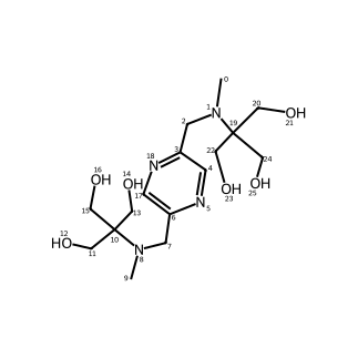 CN(Cc1cnc(CN(C)C(CO)(CO)CO)cn1)C(CO)(CO)CO